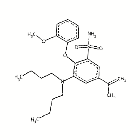 C=C(C)c1cc(N(CCCC)CCCC)c(Oc2ccccc2OC)c(S(N)(=O)=O)c1